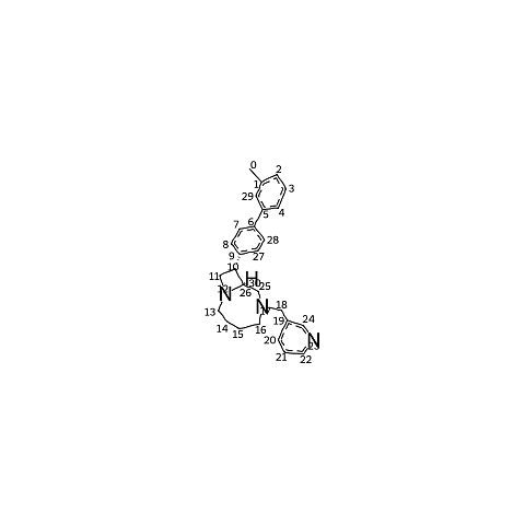 Cc1cccc(-c2ccc([C@H]3CN4CCCCN(Cc5cccnc5)C[C@H]34)cc2)c1